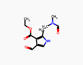 CCOC(=O)c1c(C=O)c[nH]c1C.CN(C)C=O